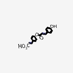 O=C(O)/C=C/c1ccc(OC(=O)/C=C/c2ccc(O)cc2)cc1